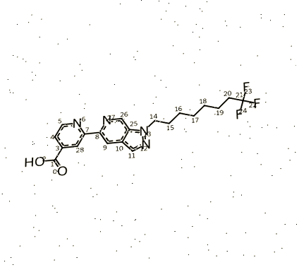 O=C(O)c1ccnc(-c2cc3cnn(CCCCCCCC(F)(F)F)c3cn2)c1